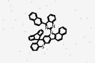 c1ccc2c(c1)Sc1cc3c4ccc5ccccc5c4n(-c4nc(-c5ccc6ccccc6c5)c5ccccc5n4)c3cc1C21c2ccccc2-c2ccccc21